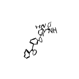 N=C(Cl)n1nc(Oc2cccc(C(=O)c3ccccc3)c2)ccc1=N